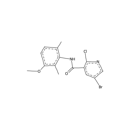 COc1ccc(C)c(NC(=O)c2cc(Br)cnc2Cl)c1C